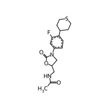 CC(=O)NCC1CN(c2ccc(C3CCSCC3)c(F)c2)C(=O)O1